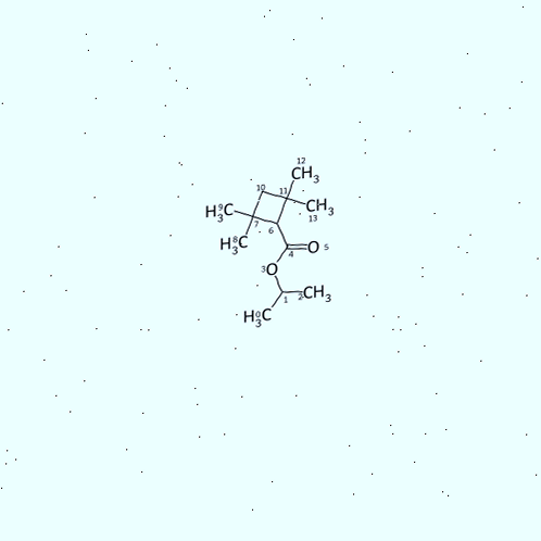 CC(C)OC(=O)C1C(C)(C)CC1(C)C